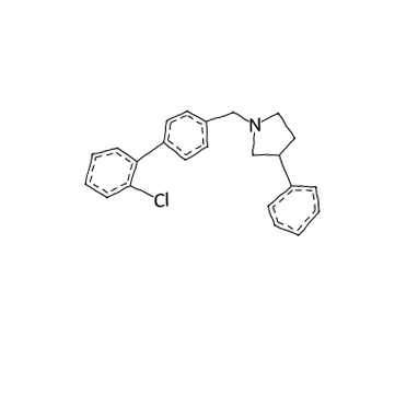 Clc1ccccc1-c1ccc(CN2CCC(c3ccccc3)C2)cc1